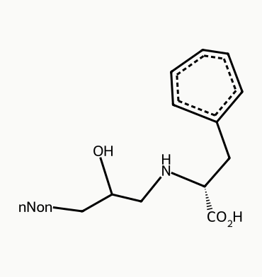 CCCCCCCCCCC(O)CN[C@H](Cc1ccccc1)C(=O)O